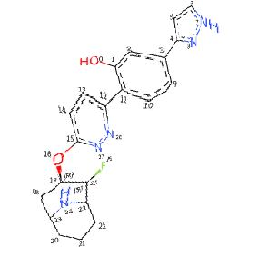 Oc1cc(-c2cc[nH]n2)ccc1-c1ccc(O[C@@H]2CC3CCCC(N3)[C@@H]2F)nn1